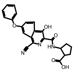 N#Cc1nc(C(=O)NC2CCCC2C(=O)O)c(O)c2ccc(Oc3ccccc3)cc12